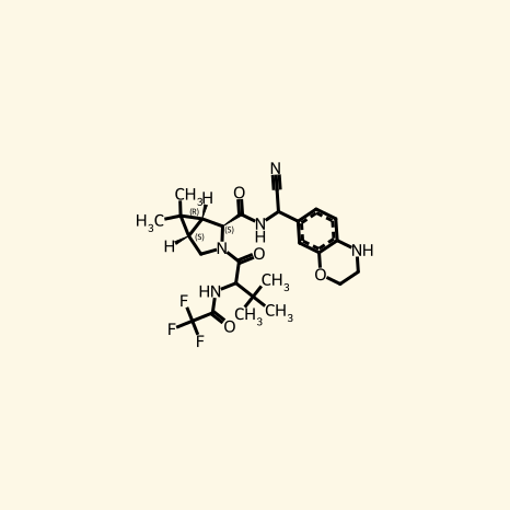 CC(C)(C)C(NC(=O)C(F)(F)F)C(=O)N1C[C@H]2[C@@H]([C@H]1C(=O)NC(C#N)c1ccc3c(c1)OCCN3)C2(C)C